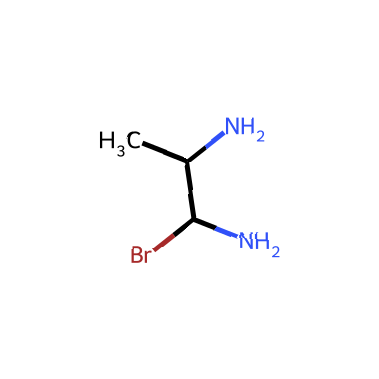 CC(N)C(N)Br